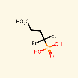 CCC(CC)(CCC(=O)O)P(=O)(O)O